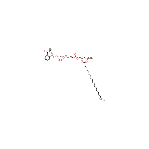 CCCCCCCCC=CCCCCCCCC(=O)OC(COC)COC(=O)C=CCOOCC(O)COC(=O)c1ccccc1C(C)=O